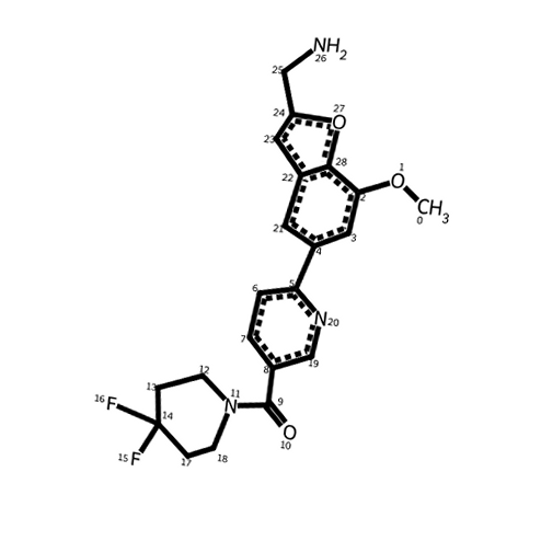 COc1cc(-c2ccc(C(=O)N3CCC(F)(F)CC3)cn2)cc2cc(CN)oc12